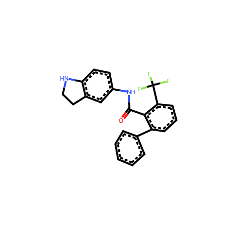 O=C(Nc1ccc2c(c1)CCN2)c1c(-c2ccccc2)cccc1C(F)(F)F